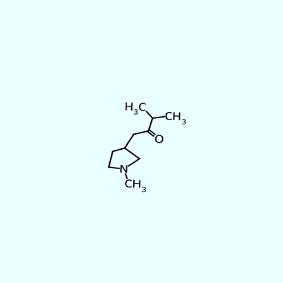 CC(C)C(=O)CC1CCN(C)C1